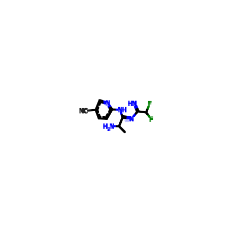 CC(N)/C(=N/C(=N)C(F)F)Nc1ccc(C#N)cn1